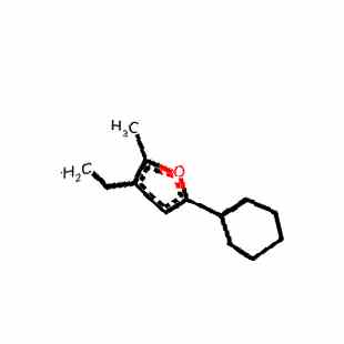 [CH2]Cc1cc(C2CCCCC2)oc1C